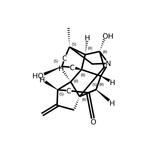 C=C1C[C@@]23C[C@@]4(O)[C@@H]5[C@]6(C)C[C@H](O)C[C@@]57[C@@H]2[C@@H]1CC(=O)[C@@H]3[C@H]7N4C6